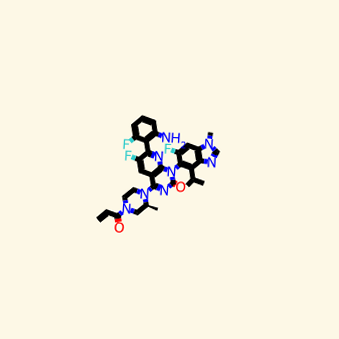 C=CC(=O)N1CCN(c2nc(=O)n(-c3c(F)cc4c(ncn4C)c3C(C)C)c3nc(-c4c(N)cccc4F)c(F)cc23)[C@@H](C)C1